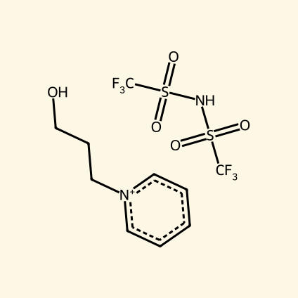 O=S(=O)(NS(=O)(=O)C(F)(F)F)C(F)(F)F.OCCC[n+]1ccccc1